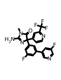 CN1C(=O)C(c2cc(F)cc(-c3cncc(F)c3)c2)(c2ccnc(C(F)(F)F)c2)N=C1N